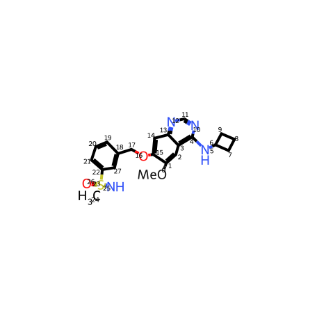 COc1cc2c(NC3CCC3)ncnc2cc1OCc1cccc(S(C)(=N)=O)c1